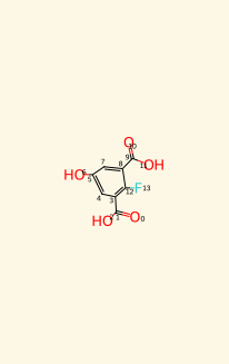 O=C(O)c1cc(O)cc(C(=O)O)c1F